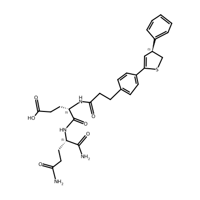 NC(=O)CC[C@H](NC(=O)[C@H](CCC(=O)O)NC(=O)CCc1ccc(C2=C[C@@H](c3ccccc3)CS2)cc1)C(N)=O